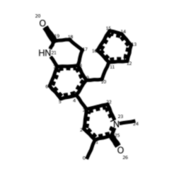 Cc1cc(-c2ccc3c(c2Cc2ccccc2)CCC(=O)N3)cn(C)c1=O